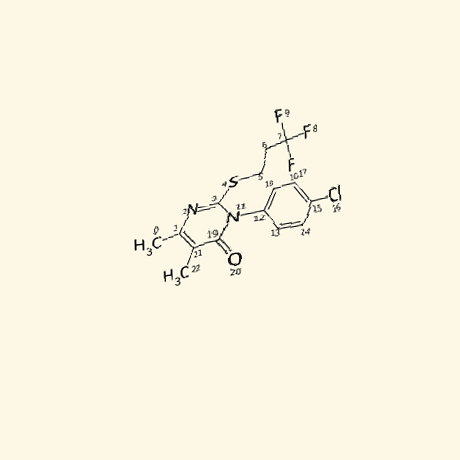 Cc1nc(SCCC(F)(F)F)n(-c2ccc(Cl)cc2)c(=O)c1C